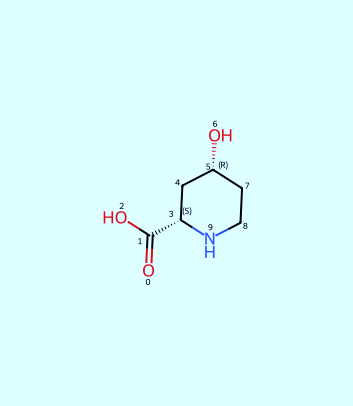 O=C(O)[C@@H]1C[C@H](O)CCN1